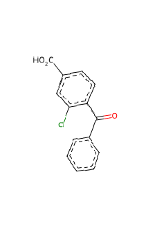 O=C(O)c1ccc(C(=O)c2ccccc2)c(Cl)c1